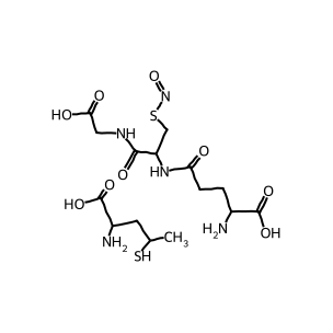 CC(S)CC(N)C(=O)O.NC(CCC(=O)NC(CSN=O)C(=O)NCC(=O)O)C(=O)O